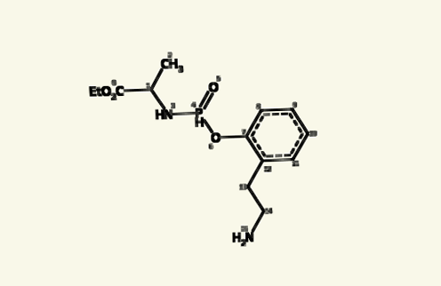 CCOC(=O)C(C)N[PH](=O)Oc1ccccc1CCN